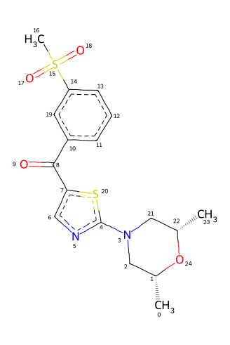 C[C@@H]1CN(c2ncc(C(=O)c3cccc(S(C)(=O)=O)c3)s2)C[C@H](C)O1